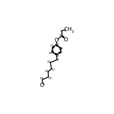 CCC(=O)Oc1ccc(CCCCCC[O])cc1